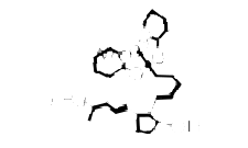 CCCC[C@@H](C)C/C=C/[C@H]1CC[C@H](O)[C@@H]1C/C=C\CCC(OC1CCCCO1)(OC1CCCCO1)C(=O)OC